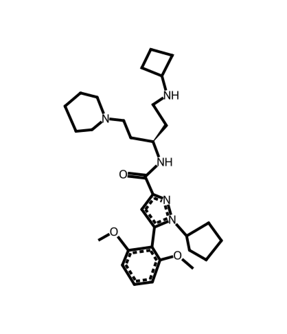 COc1cccc(OC)c1-c1cc(C(=O)N[C@H](CCNC2CCC2)CCN2CCCCC2)nn1C1CCCC1